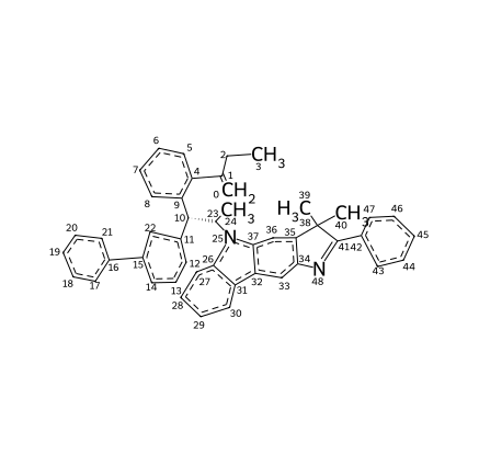 C=C(CC)c1ccccc1[C@@H](c1cccc(-c2ccccc2)c1)C(C)n1c2ccccc2c2cc3c(cc21)C(C)(C)C(c1ccccc1)=N3